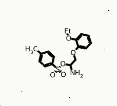 CCOc1ccccc1OCC(N)OS(=O)(=O)c1ccc(C)cc1